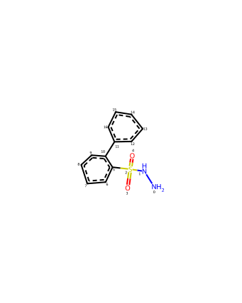 NNS(=O)(=O)c1ccccc1-c1ccccc1